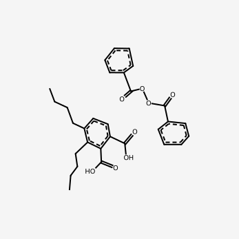 CCCCc1ccc(C(=O)O)c(C(=O)O)c1CCCC.O=C(OOC(=O)c1ccccc1)c1ccccc1